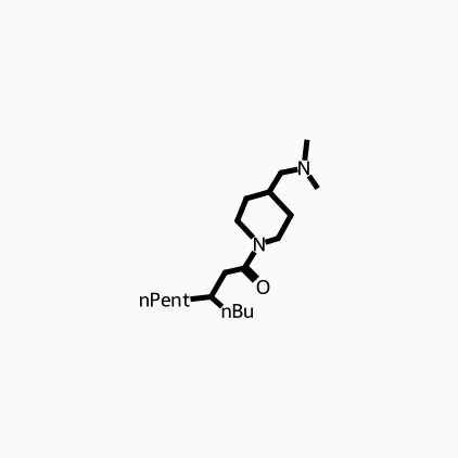 CCCCCC(CCCC)CC(=O)N1CCC(CN(C)C)CC1